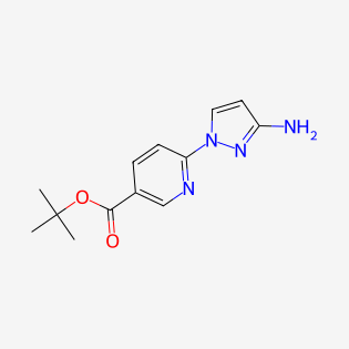 CC(C)(C)OC(=O)c1ccc(-n2ccc(N)n2)nc1